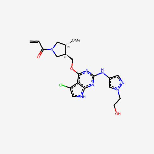 C=CC(=O)N1C[C@H](COc2nc(Nc3cnn(CCO)c3)nc3[nH]cc(Cl)c23)[C@@H](OC)C1